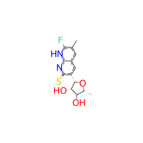 Cc1cc2cc([C@@H]3O[C@H](C)C(O)[C@@H]3O)c(=S)nc-2[nH]c1F